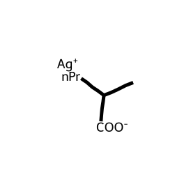 CCCC(C)C(=O)[O-].[Ag+]